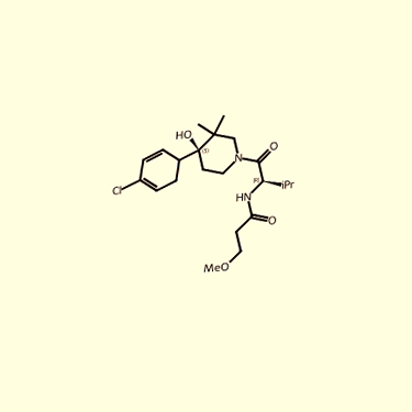 COCCC(=O)N[C@@H](C(=O)N1CC[C@](O)(C2C=CC(Cl)=CC2)C(C)(C)C1)C(C)C